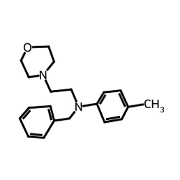 Cc1ccc(N(CCN2CCOCC2)Cc2ccccc2)cc1